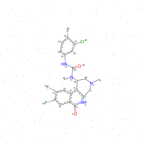 CN1Cc2[nH]c(=O)c3cc(F)c(F)cc3c2C(N(C)C(=O)Nc2ccc(F)c(Cl)c2)C1